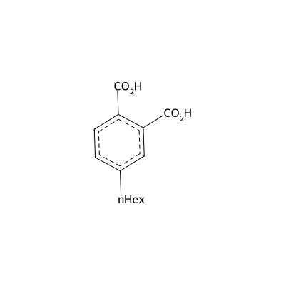 [CH2]CCCCCc1ccc(C(=O)O)c(C(=O)O)c1